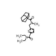 CCN(CC)C(=O)c1ccc(CN(C)C(=O)C23CC4CC(CC(C4)C2)C3)s1